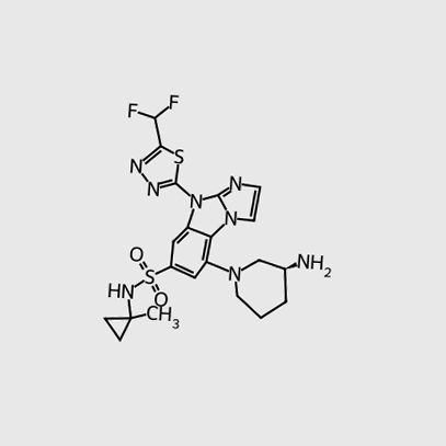 CC1(NS(=O)(=O)c2cc(N3CCC[C@H](N)C3)c3c(c2)n(-c2nnc(C(F)F)s2)c2nccn32)CC1